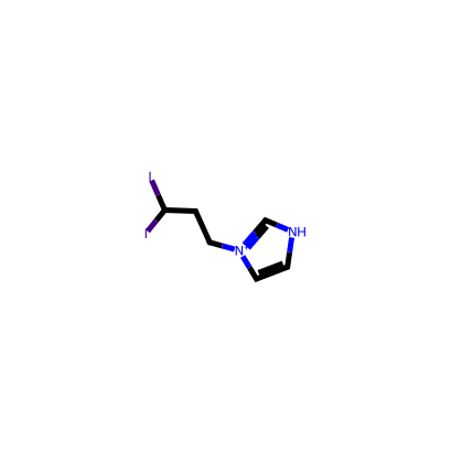 IC(I)CC[n+]1cc[nH]c1